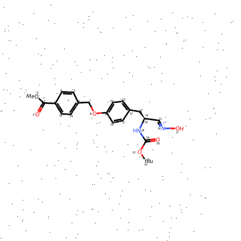 COC(=O)c1ccc(COc2ccc(C[C@@H](/C=N/O)NC(=O)OC(C)(C)C)cc2)cc1